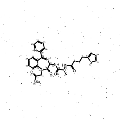 C[C@H](NC(=O)CCCc1cccs1)C(=O)NC1N=C(c2ccccn2)c2ccccc2N(CC(=O)C(C)(C)C)C1=O